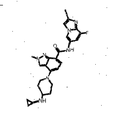 Cc1cn2cc(NC(=O)c3ccc(N4CCC(NC5CC5)CC4)c4cn(C)nc34)cc(F)c2n1